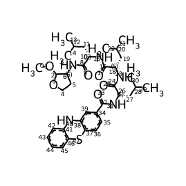 COC1OCC[C@@H]1NC(=O)[C@H](CC(C)C)NC(=O)[C@H](CC(C)C)NC(=O)[C@H](CC(C)C)NC(=O)c1ccc2c(c1)Nc1ccccc1S2